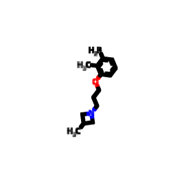 Bc1cccc(OCCCN2CC(C)C2)c1C